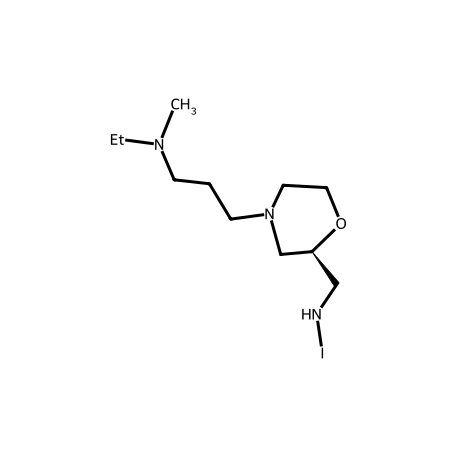 CCN(C)CCCN1CCO[C@@H](CNI)C1